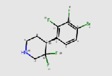 Fc1c(Br)ccc([C@@H]2CCNCC2(F)F)c1F